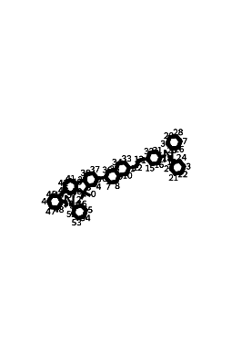 CC1(C)c2cc(-c3ccc4cc(/C=C/c5ccc(N(c6ccccc6)c6ccccc6)cc5)ccc4c3)ccc2-c2ccc3c4ccccc4n(-c4ccccc4)c3c21